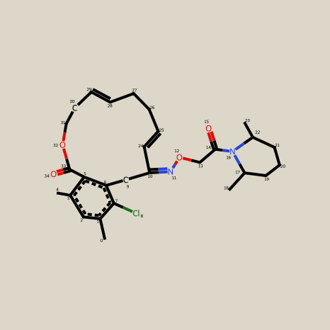 Cc1cc(C)c2c(c1Cl)CC(=N/OCC(=O)N1C(C)CCCC1C)/C=C/CC/C=C/CCOC2=O